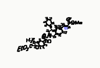 CCOC(=O)c1oc2ccc(S(=O)(=O)N(CCc3ccccc3)Cc3ccc(/C=C/C(=O)OC)cc3)cc2c1C